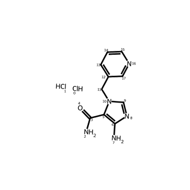 Cl.Cl.NC(=O)c1c(N)ncn1Cc1cccnc1